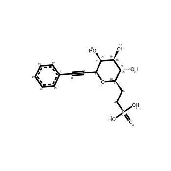 O=P(O)(O)CC[C@H]1OC(C#Cc2ccccc2)[C@@H](O)[C@@H](O)[C@@H]1O